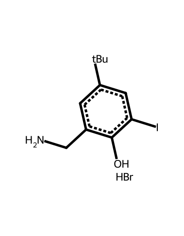 Br.CC(C)(C)c1cc(I)c(O)c(CN)c1